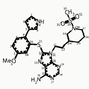 COc1ccc(-c2cc[nH]c2)c(Sc2nc3c(N)ncnc3n2CCC2CCCN(S(C)(=O)=O)C2)c1